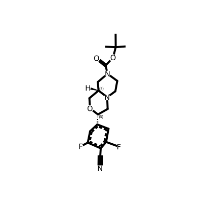 CC(C)(C)OC(=O)N1CCN2C[C@H](c3cc(F)c(C#N)c(F)c3)OC[C@@H]2C1